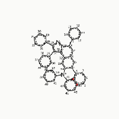 c1ccc(-c2cc3cc(-c4ccccc4)n4nc(-c5ccccc5)c(-c5ccccc5)c4c3cc2N(c2ccccc2)c2ccccc2)cc1